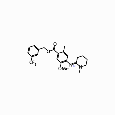 COc1cc(C(=O)OCc2cccc(C(F)(F)F)c2)c(C)cc1/N=C1\CCCCN1C